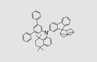 CC1(C)CCC(C)(C)c2c(N(c3cc(-c4ccccc4)cc(-c4ccccc4)c3)c3ccc4c(c3)C3(c5ccccc5-4)C4CC5CC(C4)C3C5)cccc21